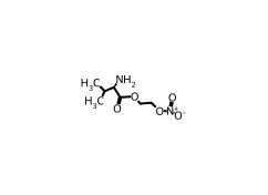 CC(C)[C@@H](N)C(=O)OCCO[N+](=O)[O-]